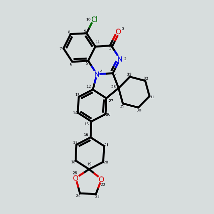 O=c1nc2n(c3cccc(Cl)c13)-c1ccc(C3=CCC4(CC3)OCCO4)cc1C21CCCCC1